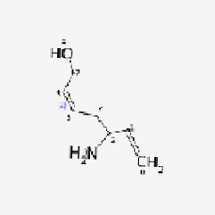 C=CC(N)C/C=C\CO